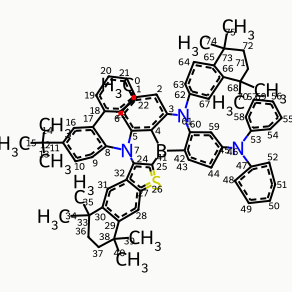 Cc1cc2c3c(c1)N(c1ccc(C(C)(C)C)cc1-c1ccccc1)c1c(sc4cc5c(cc14)C(C)(C)CCC5(C)C)B3c1ccc(N(c3ccccc3)c3ccccc3)cc1N2c1ccc2c(c1)C(C)(C)CCC2(C)C